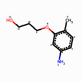 Cc1ccc(N)cc1OCCCO